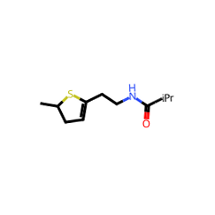 CC1CC=C(CCNC(=O)C(C)C)S1